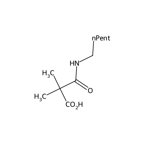 CCCCCCNC(=O)C(C)(C)C(=O)O